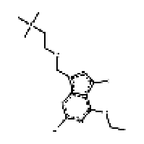 CCOc1nc(Cl)nc2c1c(I)cn2COCC[Si](C)(C)C